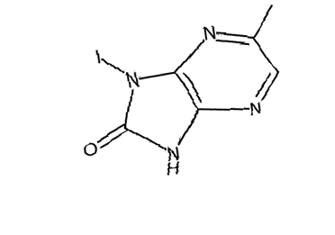 Cc1cnc2[nH]c(=O)n(I)c2n1